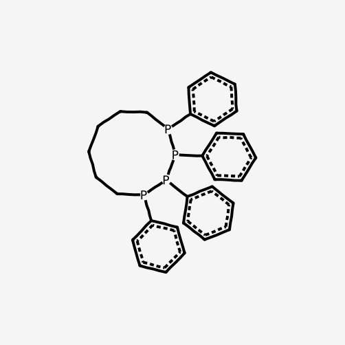 c1ccc(P2CCCCCCP(c3ccccc3)P(c3ccccc3)P2c2ccccc2)cc1